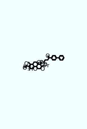 CC(C)C12OC1CC1(O)C3(C)CCC4=C(COC4=O)C3CCC1(O)C2OC(=O)CCC(=O)c1ccc(-c2ccccc2)cc1